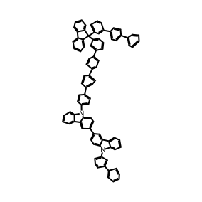 c1ccc(-c2ccc(-c3cccc(C4(c5cccc(-c6ccc(-c7ccc(-c8ccc(-n9c%10ccccc%10c%10cc(-c%11ccc%12c(c%11)c%11ccccc%11n%12-c%11cccc(-c%12ccccc%12)c%11)ccc%109)cc8)cc7)cc6)c5)c5ccccc5-c5ccccc54)c3)cc2)cc1